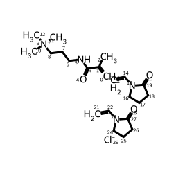 C=C(C)C(=O)NCCC[N+](C)(C)C.C=CN1CCCC1=O.C=CN1CCCC1=O.[Cl-]